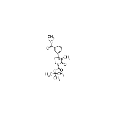 CCOC(=O)c1cccc([C@@H]2CCN(C(=O)OC(C)(C)C)C(=O)[C@H]2C)c1